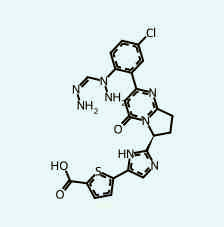 N/N=C\N(N)c1ccc(Cl)cc1-c1cc(=O)n2c(n1)CC[C@H]2c1ncc(-c2ccc(C(=O)O)s2)[nH]1